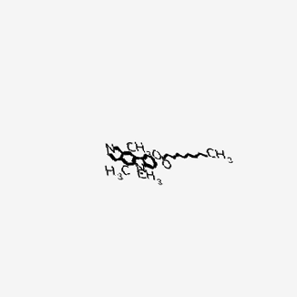 CCCCCCCCCC(=O)Oc1ccc2c(c1)c1c(C)c3cnccc3c(C)c1n2C